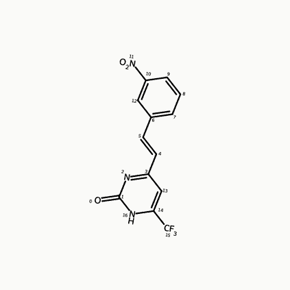 O=c1nc(/C=C/c2cccc([N+](=O)[O-])c2)cc(C(F)(F)F)[nH]1